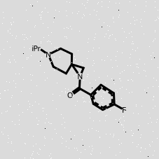 CC(C)N1CCC2(CC1)CN2C(=O)c1ccc(F)cc1